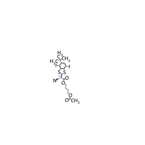 CC(=O)OCCCCOC(=O)/C(C#N)=C1\Sc2c(I)cc(C(C)(C)C)c(I)c2S1